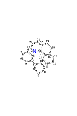 c1ccc(-c2ccccc2)cc1.c1ccc2c(c1)ccc1cccnc12